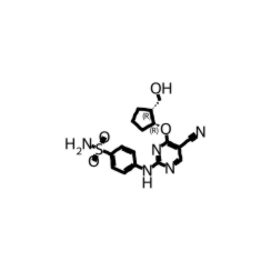 N#Cc1cnc(Nc2ccc(S(N)(=O)=O)cc2)nc1O[C@@H]1CCC[C@@H]1CO